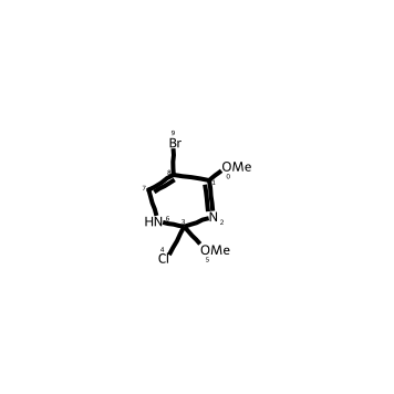 COC1=NC(Cl)(OC)NC=C1Br